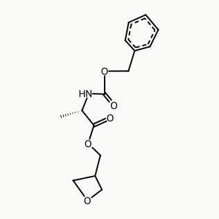 C[C@H](NC(=O)OCc1ccccc1)C(=O)OCC1COC1